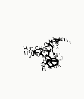 C[C@H]1C[C@H]1C[C@@H](C(N)=O)N(C)C(=O)C(NC(=O)OC(C)(C)C)C12CC3CC(CC(O)(C3)C1)C2